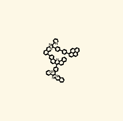 C1=CNC(c2nc3cc4ccccc4cn3c2-c2ccc(-c3c4ccc5ccccc5c4nc4c3ccc3cc(-c5cccc6cc7nc(-c8ccccn8)c(-c8ccc(-c9ccc(-c%10ccc%11ccc%12cccc%13ccc%10c%11c%12%13)cc9)cc8)n7cc56)ccc34)cc2)C=C1